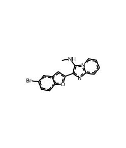 CNc1c(-c2cc3cc(Br)ccc3o2)nc2ccccn12